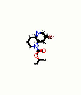 CC(C)OC(=O)N1CCCc2ncc(Br)cc21